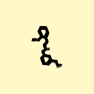 CCCOc1cccc(CNCCc2ccccc2OC)c1